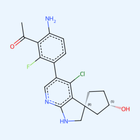 CC(=O)c1c(N)ccc(-c2cnc3c(c2Cl)[C@]2(CC[C@H](O)C2)CN3)c1F